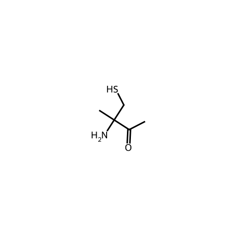 CC(=O)C(C)(N)CS